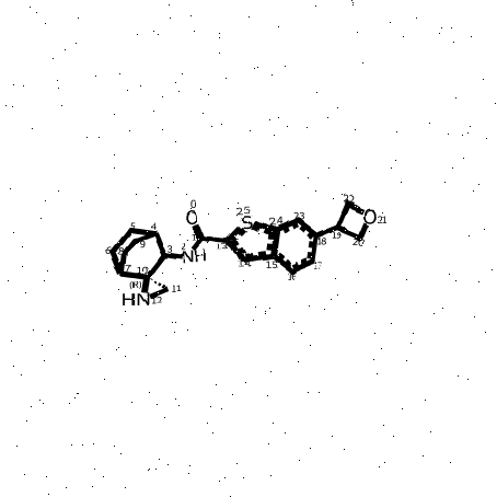 O=C(NC1C2CCC(CC2)[C@@]12CN2)c1cc2ccc(C3COC3)cc2s1